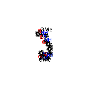 COC(=O)N[C@@H](C(=O)N1CCC[C@H]1CNC(=O)C1=CCC(C)(c2ccc(-c3cnc([C@@H]4CCCN4C(=O)[C@H](NC(=O)OC)c4ccccc4)[nH]3)cc2)CC1)c1ccccc1